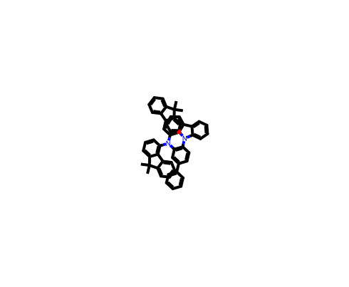 CC1(C)c2ccccc2-c2cc(N(c3cc(-c4ccccc4)ccc3-n3c4ccccc4c4ccccc43)c3cccc4c3-c3ccccc3C4(C)C)ccc21